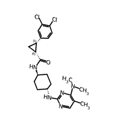 Cc1cnc(N[C@H]2CC[C@H](NC(=O)[C@@H]3C[C@@H]3c3ccc(Cl)c(Cl)c3)CC2)nc1N(C)C